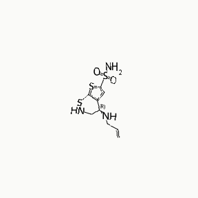 C=CCN[C@H]1CNSc2sc(S(N)(=O)=O)cc21